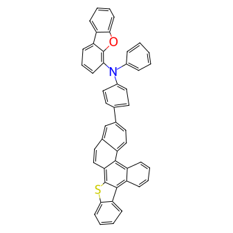 c1ccc(N(c2ccc(-c3ccc4c(ccc5c6sc7ccccc7c6c6ccccc6c45)c3)cc2)c2cccc3c2oc2ccccc23)cc1